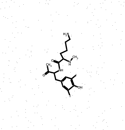 CNC(CCCCN)C(=O)NC(Cc1cc(I)c(O)c(I)c1)C(C)=O